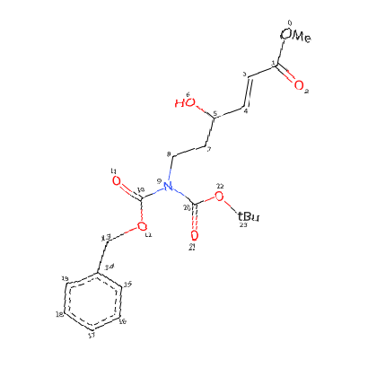 COC(=O)/C=C/C(O)CCN(C(=O)OCc1ccccc1)C(=O)OC(C)(C)C